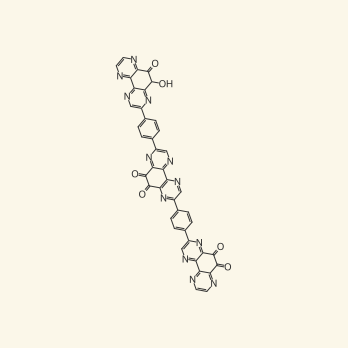 O=C1C(=O)c2nc(-c3ccc(-c4cnc5c(n4)C(=O)C(=O)c4nc(-c6ccc(-c7cnc8c(n7)C(O)C(=O)c7nccnc7-8)cc6)cnc4-5)cc3)cnc2-c2nccnc21